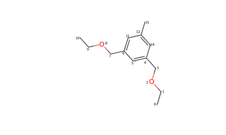 CCOCc1[c]c(COCC)cc(C)c1